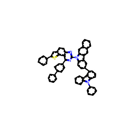 c1ccc(-c2ccc(-c3nc(-n4c5ccc(-c6cccc7c6c6ccccc6n7-c6ccccc6)cc5c5cc6ccccc6cc54)nc4ccc5cc(-c6ccccc6)sc5c34)cc2)cc1